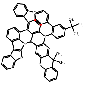 CC(C)(C)c1ccc(N2c3cc4c(cc3B3c5c2cc2oc6ccccc6c2c5-c2cccc5c6c7ccccc7sc6n3c25)Sc2ccccc2C4(C)C)c(-c2ccccc2)c1